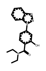 CCN(CC)C(=O)c1ccc(-n2nnc3ccccc32)cc1O